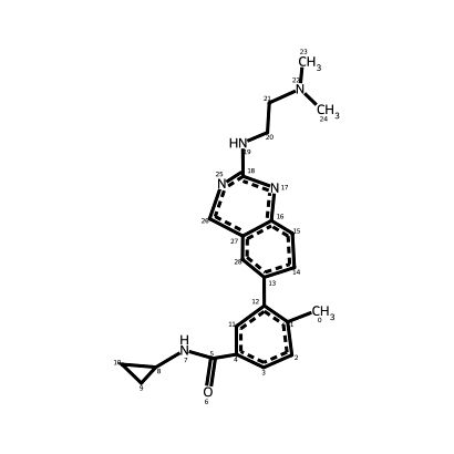 Cc1ccc(C(=O)NC2CC2)cc1-c1ccc2nc(NCCN(C)C)ncc2c1